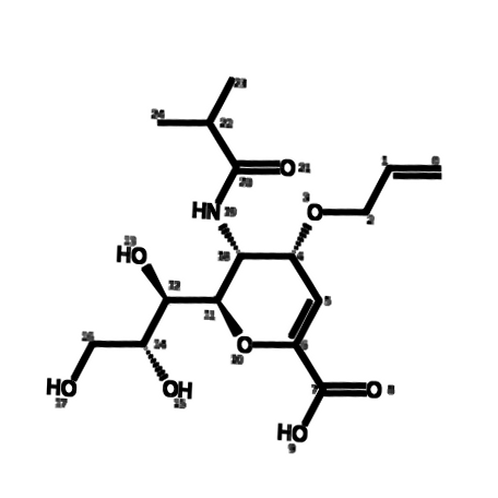 C=CCO[C@@H]1C=C(C(=O)O)O[C@@H]([C@H](O)[C@H](O)CO)[C@@H]1NC(=O)C(C)C